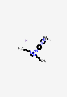 CCCCCn1cc[n+](CCCCC)c1N=Nc1ccc(N2CC[N+](C)(C)CC2)cc1.I